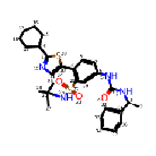 C[C@H](NC(=O)Nc1ccc(-c2cnc(C3CCCCC3)s2)c(S(=O)(=O)NC(C)(C)C)c1)c1ccccc1